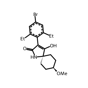 CCc1cc(Br)cc(CC)c1C1=C(O)[C@]2(CC[C@H](OC)CC2)NC1=O